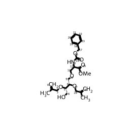 C=C(C)CO[C@@H](CO)[C@H](COCC(NC(=O)OCc1ccccc1)C(=O)OC)OCC(=C)C